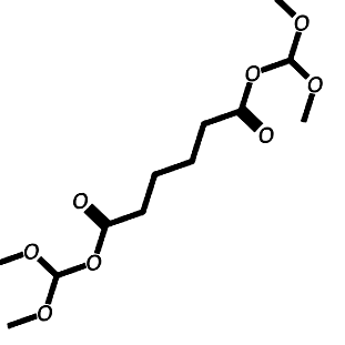 COC(OC)OC(=O)CCCCC(=O)OC(OC)OC